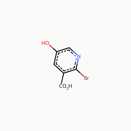 O=C(O)c1cc(O)cnc1Br